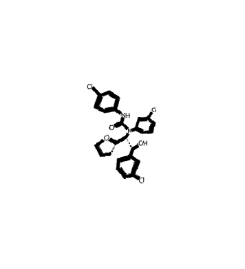 O=C(Nc1ccc(Cl)cc1)N(c1cccc(Cl)c1)[C@H](C(O)c1cccc(Cl)c1)[C@@H]1CCCO1